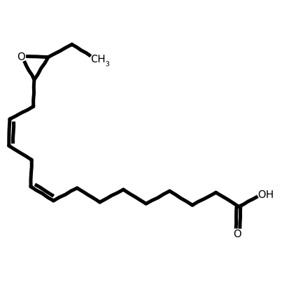 CCC1OC1C/C=C\C/C=C\CCCCCCCC(=O)O